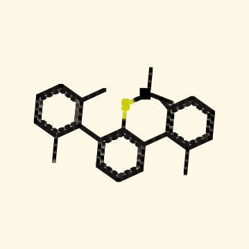 Cc1cccc(C)c1-c1cccc(-c2c(C)cccc2C)c1[S][Bi]([CH3])[CH3]